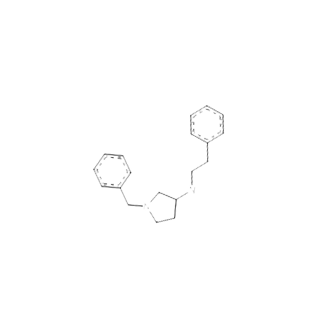 c1ccc(CCNC2CCN(Cc3ccccc3)C2)cc1